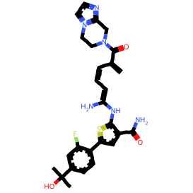 C=C(/C=C\C=C(/N)Nc1sc(-c2ccc(C(C)(C)O)cc2F)cc1C(N)=O)C(=O)N1CCn2ccnc2C1